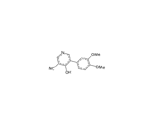 COc1ccc(-c2cncc(C#N)c2O)cc1OC